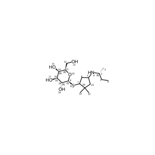 CC[C@@H](C)NC1CC(S[C@@H]2O[C@H](CO)[C@H](O)[C@H](O)[C@H]2O)C(C)(C)C1